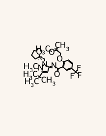 CO[C@@H](C)COc1ccc(C(F)(F)F)cc1C(=O)N=c1cc(C(C)(C)C)n(C)n1C[C@H]1CCCO1